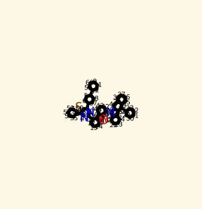 c1ccc(-c2ccc(-c3nc(-c4cccc5oc6c(-n7c8ccccc8c8c(-c9ccccc9)c9ccccc9cc87)cccc6c45)nc4c3sc3ccccc34)cc2)cc1